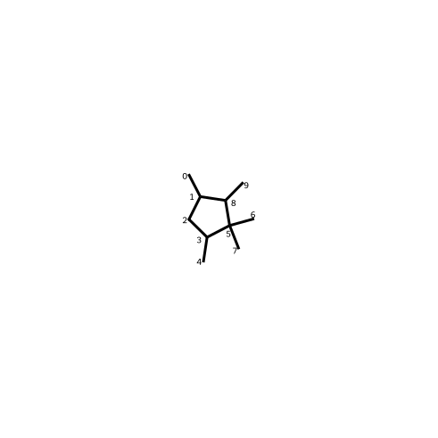 CC1CC(C)C(C)(C)C1C